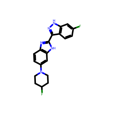 Fc1ccc2c(-c3nc4ccc(N5CCC(F)CC5)cc4[nH]3)n[nH]c2c1